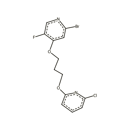 Fc1cnc(Br)cc1OCCCOc1cccc(Cl)n1